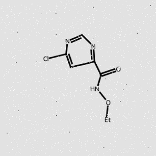 CCONC(=O)c1cc(Cl)ncn1